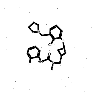 CN(CC1CC(Oc2cccc(CN3CCCC3)c2Cl)C1)C(=O)Nc1ccccc1F